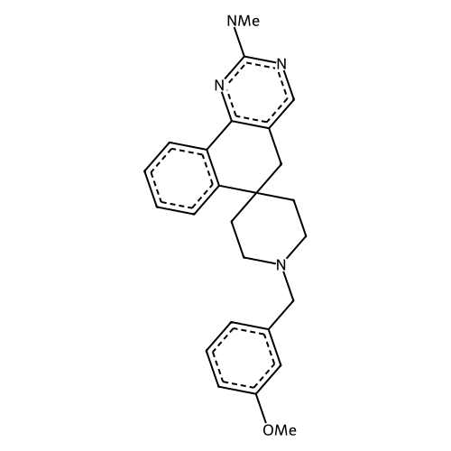 CNc1ncc2c(n1)-c1ccccc1C1(CCN(Cc3cccc(OC)c3)CC1)C2